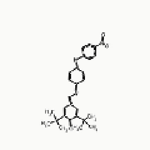 CC(C)(C)C1=CC(=CN=C2C=CC(=Nc3ccc([N+](=O)[O-])cc3)C=C2)C=C(C(C)(C)C)C1=O